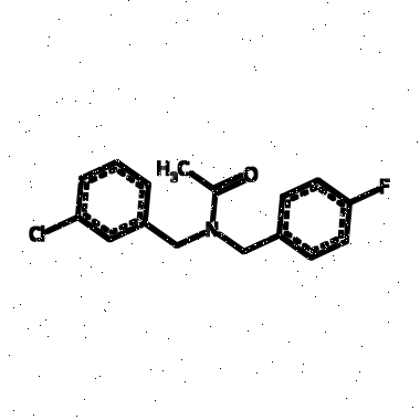 CC(=O)N(Cc1ccc(F)cc1)Cc1cccc(Cl)c1